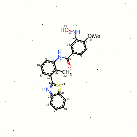 COc1ccc(C(=O)Nc2cccc(-c3nc4ccccc4s3)c2C)cc1NO